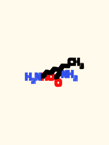 CCCCCCCCN.NCC(=O)O